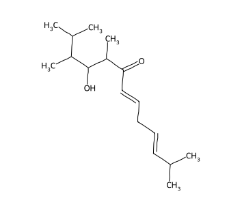 CC(C)/C=C/C/C=C/C(=O)C(C)C(O)C(C)C(C)C